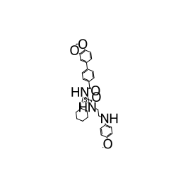 COc1ccc(NCCNC(=O)[C@H](CC2CCCCC2)NC(=O)c2ccc(-c3ccc4c(c3)OCO4)cc2)cc1